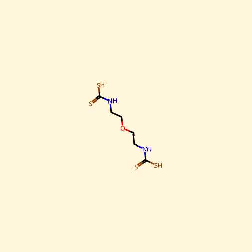 S=C(S)NCCOCCNC(=S)S